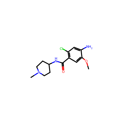 COc1cc(C(=O)NC2CCN(C)CC2)c(Cl)cc1N